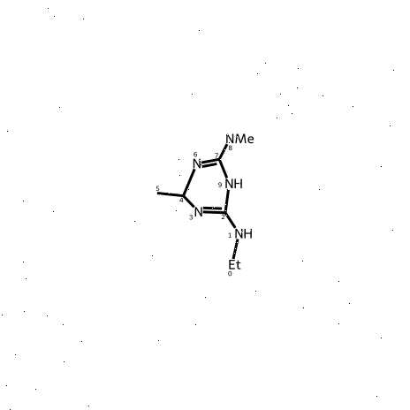 CCNC1=NC(C)N=C(NC)N1